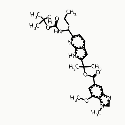 CCC[C@@H](NC(=O)OC(C)(C)C)c1ccc2cc(C(C)(C)OC(=O)c3cc(OC)c4c(c3)ncn4C)[nH]c2n1